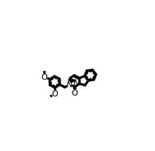 COc1ccc(CN2C(=O)C34Cc5ccccc5C3=CC2C(C)=N4)c(OC)c1